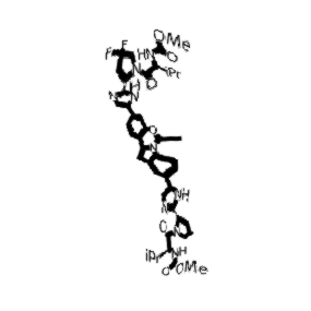 COC(=O)N[C@H](C(=O)N1CCC[C@H]1C1=NCC(c2ccc3c(c2)cc2n3C(C)Oc3cc(-c4cnc([C@@H]5CC(F)(F)CN5C(=O)[C@@H](NC(=O)OC)C(C)C)[nH]4)ccc3-2)N1)C(C)C